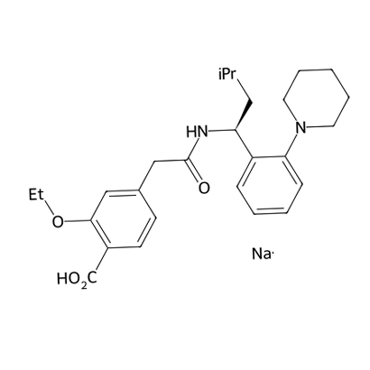 CCOc1cc(CC(=O)N[C@@H](CC(C)C)c2ccccc2N2CCCCC2)ccc1C(=O)O.[Na]